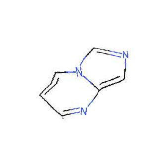 [c]1ccn2cncc2n1